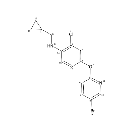 Clc1cc(Oc2ccc(Br)cn2)ccc1NCC1CC1